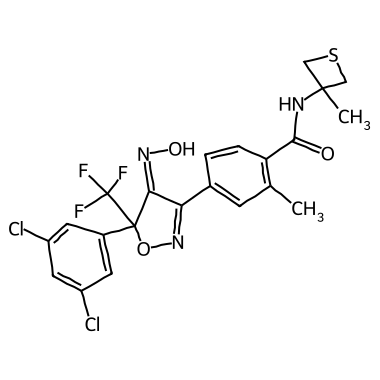 Cc1cc(C2=NOC(c3cc(Cl)cc(Cl)c3)(C(F)(F)F)/C2=N/O)ccc1C(=O)NC1(C)CSC1